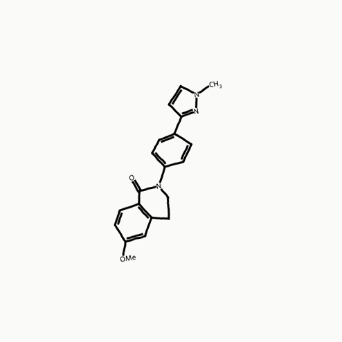 COc1ccc2c(c1)CCN(c1ccc(-c3ccn(C)n3)cc1)C2=O